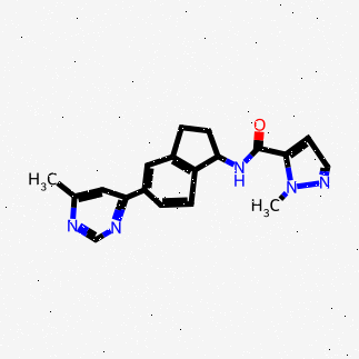 Cc1cc(-c2ccc3c(c2)CCC3NC(=O)c2ccnn2C)ncn1